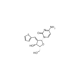 Nc1ccn([C@@H]2O[C@H](CO)[C@@H](O)C2=Cc2cccs2)c(=O)n1